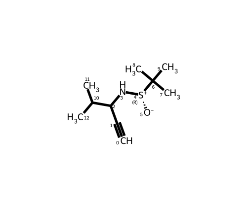 C#CC(N[S@@+]([O-])C(C)(C)C)C(C)C